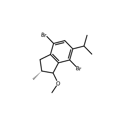 COC1c2c(Br)c(C(C)C)cc(Br)c2C[C@H]1C